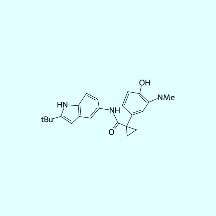 CNc1cc(C2(C(=O)Nc3ccc4[nH]c(C(C)(C)C)cc4c3)CC2)ccc1O